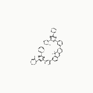 C/C=C(\C=C(/C)c1nc(C2=CC=CC=CC2)nc(C2=CC=CCC=C2C)n1)c1ccc2c(c1)C(C)(C)C1=CC(c3cccc(-c4nc(-c5ccccc5)nc(-c5ccccc5C)n4)c3)=CCC1C2